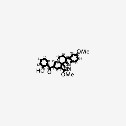 COC(=O)C1=CC(C(=O)c2ccccc2O)=CN2CCc3c([nH]c4ccc(OC)cc34)C12C